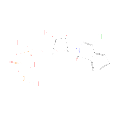 O=c1c2ccccc2c(Cl)cn1[C@@H]1O[C@H](COP(=O)(O)OP(=O)(O)OP(=O)(O)O)[C@@H](O)[C@H]1O